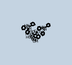 CC(C)c1c(S(=O)(=O)O)c(S(=O)(=O)O)c2ccccc2c1C(C)C.c1ccc(C2=NN(c3ccccc3)N(c3ccccc3)N2)cc1.c1ccc(C2=NN(c3ccccc3)N(c3ccccc3)N2)cc1